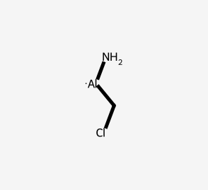 [NH2][Al][CH2]Cl